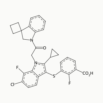 O=C(O)c1cccc(Sc2c(C3CC3)n(CC(=O)N3CC4(CCC4)c4ccccc43)c3c(F)c(Cl)ccc23)c1F